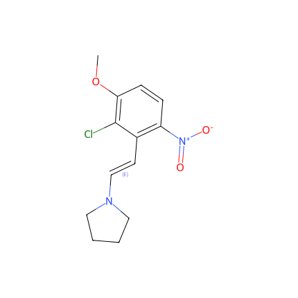 COc1ccc([N+](=O)[O-])c(/C=C/N2CCCC2)c1Cl